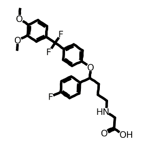 COc1ccc(C(F)(F)c2ccc(OC(CCCNCC(=O)O)c3ccc(F)cc3)cc2)cc1OC